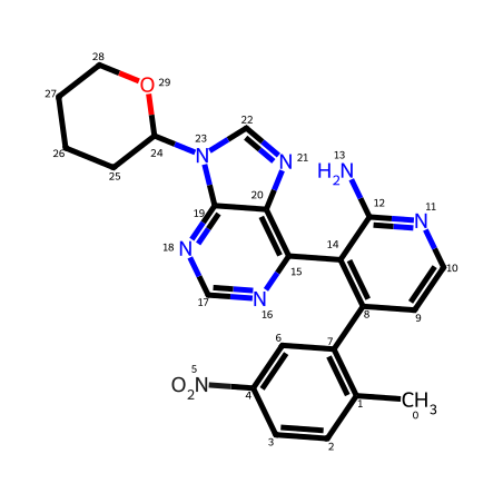 Cc1ccc([N+](=O)[O-])cc1-c1ccnc(N)c1-c1ncnc2c1ncn2C1CCCCO1